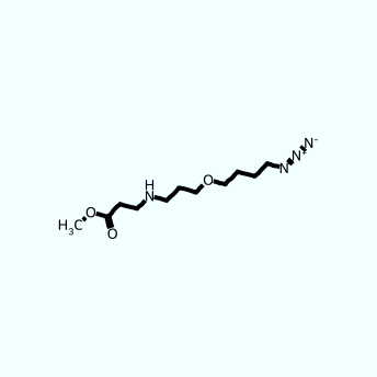 COC(=O)CCNCCCOCCCCN=[N+]=[N-]